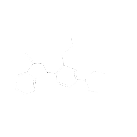 CCOc1cc(N(CC)CC)ccc1C1OC(=O)c2ncccc21